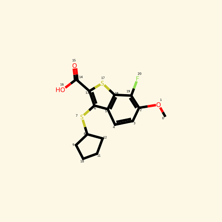 COc1ccc2c(SC3CCCC3)c(C(=O)O)sc2c1F